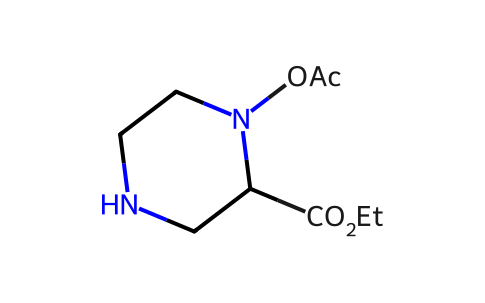 CCOC(=O)C1CNCCN1OC(C)=O